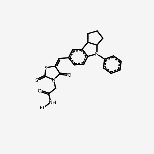 CCNC(=O)CN1C(=O)/C(=C\c2ccc3c(c2)C2CCCC2N3c2ccccc2)SC1=S